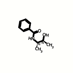 C[C@H](O)[C@H](C)NC(=O)c1ccccc1